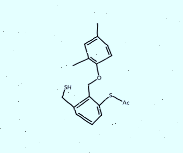 CC(=O)Sc1cccc(CS)c1COc1ccc(C)cc1C